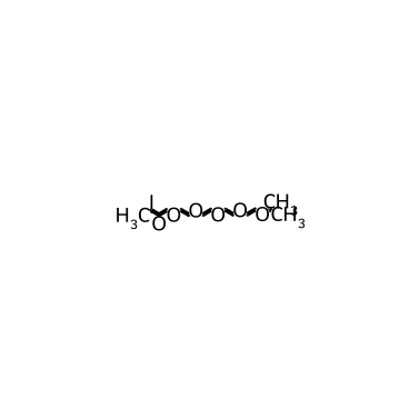 CC(C)OCCOCCOCCOCCOCC(=O)C(C)I